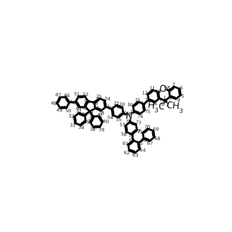 CC1(C)c2ccccc2Oc2ccc(-c3ccc(N(c4ccc(-c5ccc6c(c5)C(c5ccccc5)(c5ccccc5)c5cc(-c7ccccc7)ccc5-6)cc4)c4ccc(-c5ccccc5-c5ccccc5)cc4)cc3)cc21